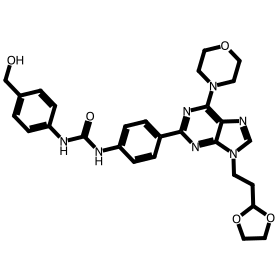 O=C(Nc1ccc(CO)cc1)Nc1ccc(-c2nc(N3CCOCC3)c3ncn(CCC4OCCO4)c3n2)cc1